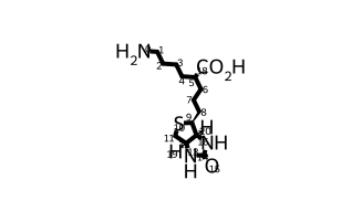 NCCCCC(CCC[C@@H]1SC[C@@H]2NC(=O)N[C@@H]21)C(=O)O